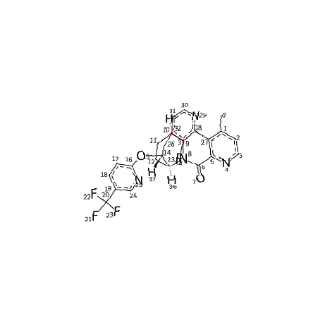 Cc1ccnc(C(=O)N2C[C@@H]3CC[C@H]2[C@H](Oc2ccc(C(F)(F)F)cn2)C3)c1-c1ncccc1F